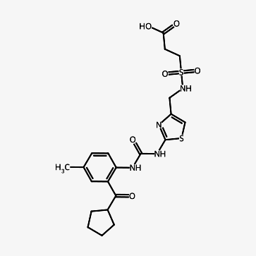 Cc1ccc(NC(=O)Nc2nc(CNS(=O)(=O)CCC(=O)O)cs2)c(C(=O)C2CCCC2)c1